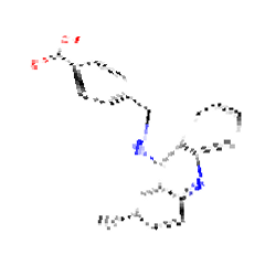 Cc1ccc2nc3ccccc3c(NCc3ccc(C(=O)O)cc3)c2c1